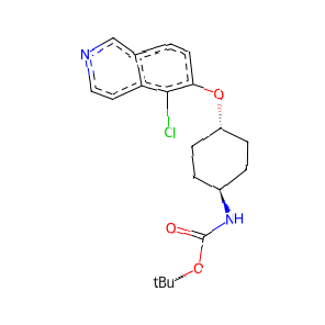 CC(C)(C)OC(=O)N[C@H]1CC[C@H](Oc2ccc3cnccc3c2Cl)CC1